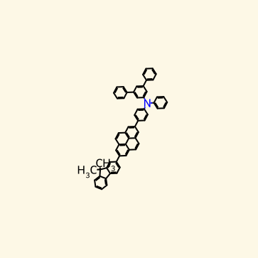 CC1(C)c2ccccc2-c2ccc(-c3cc4ccc5cc(-c6ccc(N(c7ccccc7)c7cc(-c8ccccc8)cc(-c8ccccc8)c7)cc6)cc6ccc(c3)c4c56)cc21